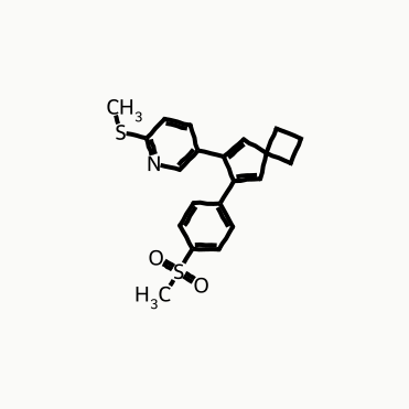 CSc1ccc(C2=CC3(C=C2c2ccc(S(C)(=O)=O)cc2)CCC3)cn1